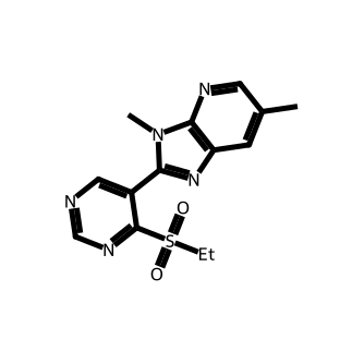 CCS(=O)(=O)c1ncncc1-c1nc2cc(C)cnc2n1C